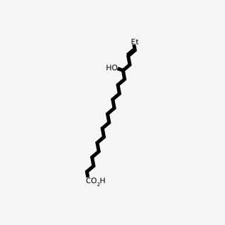 CCC=CCC(O)CCCCCCCCCCCCCCC(=O)O